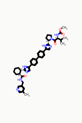 COC(=O)N[C@H](C(=O)N1CCC[C@H]1c1ncc(-c2ccc(-c3ccc(-c4cnc([C@H]5CCCC[C@@H]5C(=O)NCc5cncc(C)c5)[nH]4)cc3)cc2)[nH]1)C(C)C